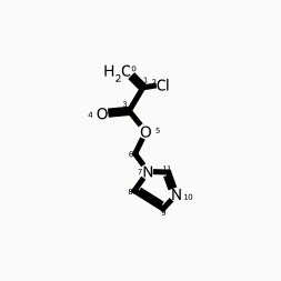 C=C(Cl)C(=O)OCn1ccnc1